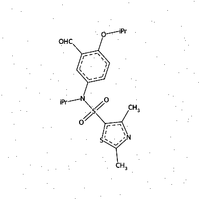 Cc1nc(C)c(S(=O)(=O)N(c2ccc(OC(C)C)c(C=O)c2)C(C)C)s1